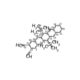 C#Cc1cc2cc3c([Si](C)(C)C)c4cc5ccccc5cc4c([Si](C)(C)C)c3cc2cc1C#C